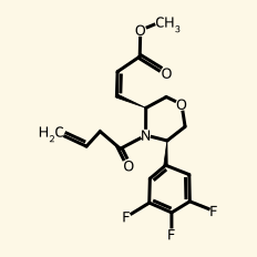 C=CCC(=O)N1[C@@H](/C=C\C(=O)OC)COC[C@H]1c1cc(F)c(F)c(F)c1